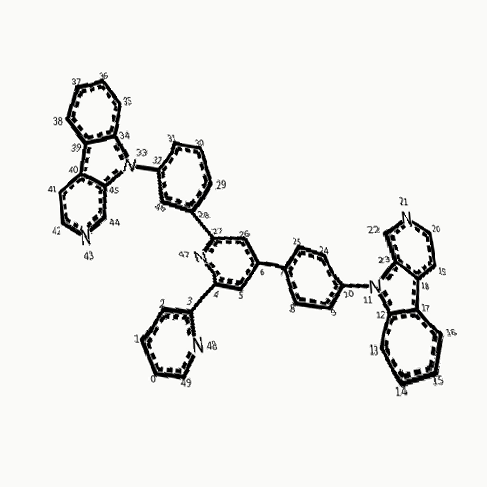 c1ccc(-c2cc(-c3ccc(-n4c5ccccc5c5ccncc54)cc3)cc(-c3cccc(-n4c5ccccc5c5ccncc54)c3)n2)nc1